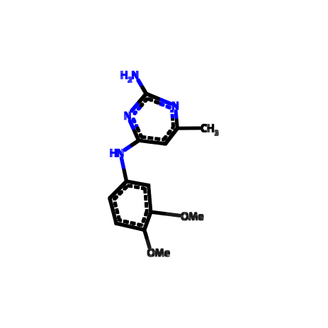 COc1ccc(Nc2cc(C)nc(N)n2)cc1OC